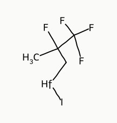 CC(F)([CH2][Hf][I])C(F)(F)F